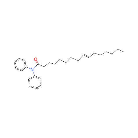 CCCCCCC=CCCCCCCCC(=O)N(c1ccccc1)c1ccccc1